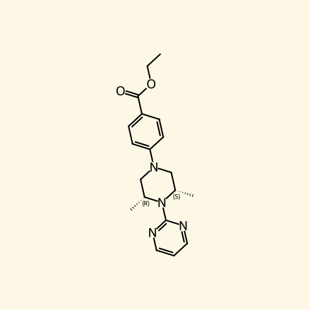 CCOC(=O)c1ccc(N2C[C@@H](C)N(c3ncccn3)[C@@H](C)C2)cc1